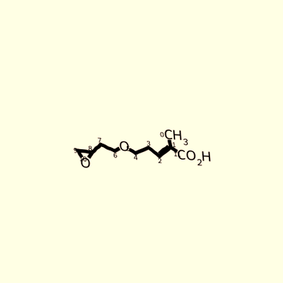 CC(=CCCOCCC1CO1)C(=O)O